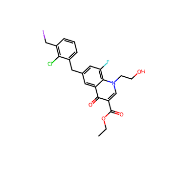 CCOC(=O)c1cn(CCO)c2c(F)cc(Cc3cccc(CI)c3Cl)cc2c1=O